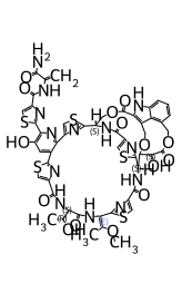 C=C(NC(=O)c1csc(-c2nc3c(cc2O)-c2nc(cs2)C(=O)N[C@@H]([C@@H](C)O)C(=O)N/C(=C(\C)OC)c2nc(cs2)C(=O)N[C@@H]2c4nc(cs4)C(=O)N[C@@H](COC(=O)c4[nH]c5cccc6c5c4COC2[C@H](O)C(=O)OC6)c2nc-3cs2)n1)C(N)=O